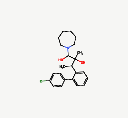 CC(c1ccccc1-c1ccc(Cl)cc1)C(C)(O)C(O)N1CCCCCC1